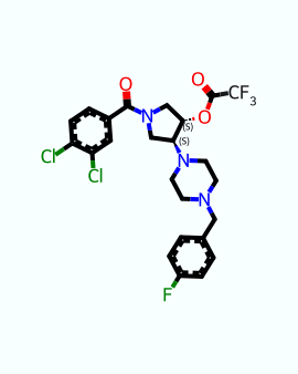 O=C(c1ccc(Cl)c(Cl)c1)N1C[C@H](OC(=O)C(F)(F)F)[C@@H](N2CCN(Cc3ccc(F)cc3)CC2)C1